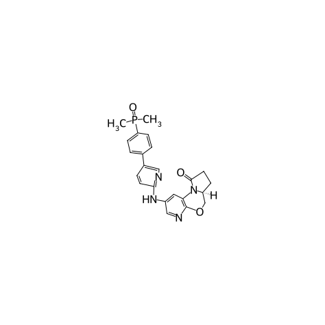 CP(C)(=O)c1ccc(-c2ccc(Nc3cnc4c(c3)N3C(=O)CC[C@H]3CO4)nc2)cc1